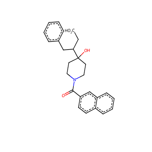 O=C(O)CC(Cc1ccccc1)C1(O)CCN(C(=O)c2ccc3ccccc3c2)CC1